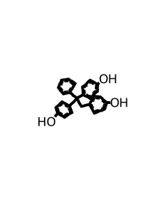 Oc1ccc(CC(c2ccccc2)(c2ccc(O)cc2)c2ccc(O)cc2)cc1